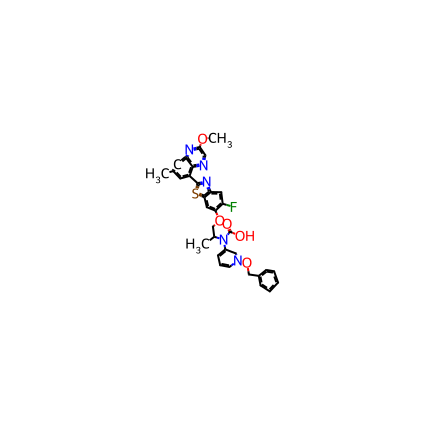 COc1cnc2c(-c3nc4cc(F)c(OCC(C)N(C(=O)O)C5=CC=CN(OCc6ccccc6)C5)cc4s3)cc(C)cc2n1